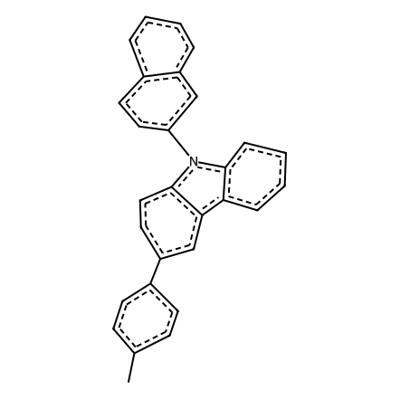 Cc1ccc(-c2ccc3c(c2)c2ccccc2n3-c2ccc3ccccc3c2)cc1